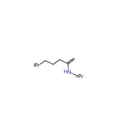 C=C(CCCC(C)C)NCCC